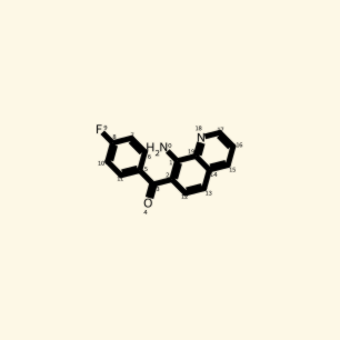 Nc1c(C(=O)c2ccc(F)cc2)ccc2cccnc12